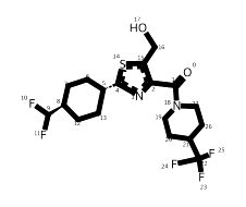 O=C(c1nc([C@H]2CC[C@H](C(F)F)CC2)sc1CO)N1CCC(C(F)(F)F)CC1